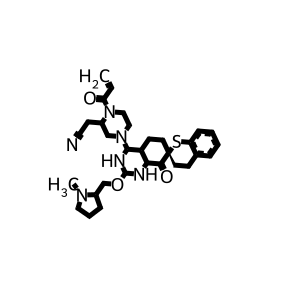 C=CC(=O)N1CCN(C2NC(OCC3CCCN3C)NC3C(=O)[C@]4(CCc5ccccc5S4)CCC32)CC1CC#N